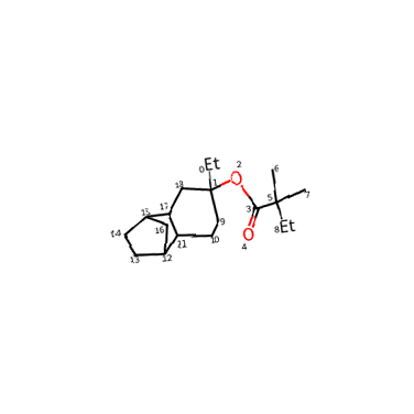 CCC1(OC(=O)C(C)(C)CC)CCC2C3CCC(C3)C2C1